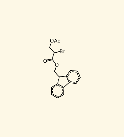 CC(=O)OCC(Br)C(=O)OCC1c2ccccc2-c2ccccc21